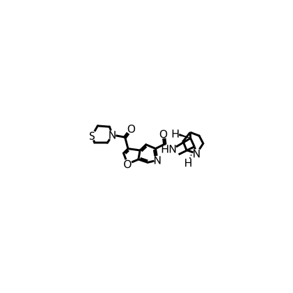 C[C@H]1[C@H](NC(=O)c2cc3c(C(=O)N4CCSCC4)coc3cn2)C2CCN1CC2